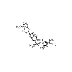 COc1cc2nn([C@H]3CC[C@H](C(C)C)CC3)cc2cc1NC(=O)c1nn(C(C)C)cc1Cl